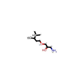 C[SiH](C)C(CCOCC(O)CN)C(C)(C)C